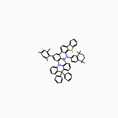 Cc1cc(C)c(-c2cc3c4c(c2)N2c5ccccc5C(c5ccccc5)(c5ccccc5)c5cccc(c52)B4N(c2ccc4c(c2)C(C)(C)CCC4(C)C)c2c-3ccc3c2sc2ccccc23)c(C)c1